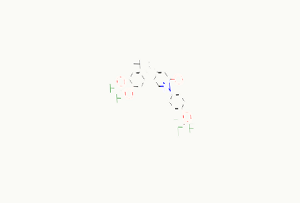 Cc1cc(=O)n(-c2ccc(OC(F)(F)F)cc2)cc1-c1ccc2c(c1)OC(F)(F)O2